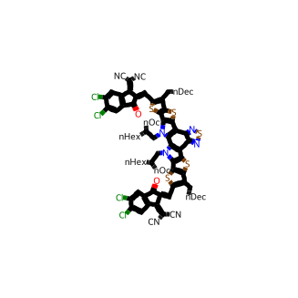 [C-]#[N+]/C(C#N)=C1\C(=C\c2sc3c(sc4c5c6nsnc6c6c7sc8c(CCCCCCCCCCC)c(/C=C9\C(=O)c%10cc(Cl)c(Cl)cc%10\C9=C(\C#N)[N+]#[C-])sc8c7n(CC(CCCCCC)CCCCCCCC)c6c5n(CC(CCCCCC)CCCCCCCC)c34)c2CCCCCCCCCCC)C(=O)c2cc(Cl)c(Cl)cc21